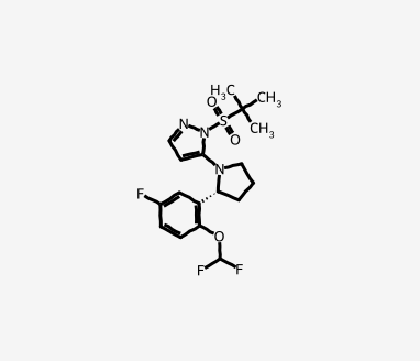 CC(C)(C)S(=O)(=O)n1nccc1N1CCC[C@@H]1c1cc(F)ccc1OC(F)F